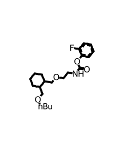 CCCCOCC1CCCCC1COCCNC(=O)Oc1ccccc1F